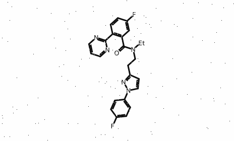 CCN(CCc1ccn(-c2ccc(F)cc2)n1)C(=O)c1cc(F)ccc1-c1ncccn1